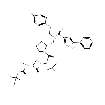 CN(C(=O)OC(C)(C)C)[C@H]1CN([C@H](C(=O)N2CCC[C@H]2CN(CCc2ccc(F)cc2)C(=O)c2cc(-c3ccccc3)[nH]n2)C(C)(C)C)C1=O